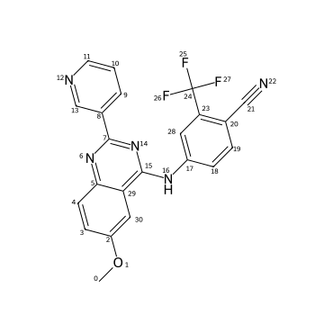 COc1ccc2nc(-c3cccnc3)nc(Nc3ccc(C#N)c(C(F)(F)F)c3)c2c1